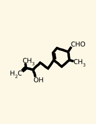 C=C(C)C(O)CCC1=CCC(C=O)C(C)C1